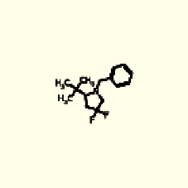 CC(C)(C)C1CC(F)(F)CN1Cc1ccccc1